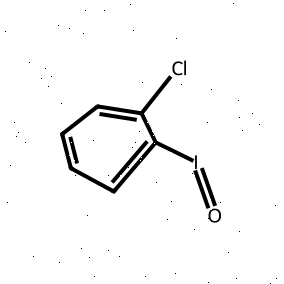 O=Ic1ccccc1Cl